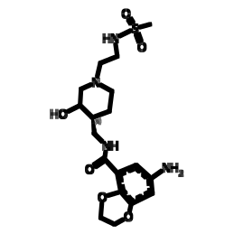 CS(=O)(=O)NCCN1CC[C@@H](CNC(=O)c2cc(N)cc3c2OCCO3)C(O)C1